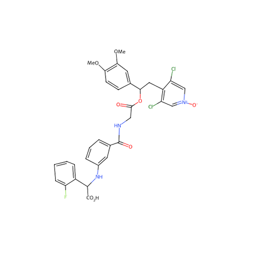 COc1ccc(C(Cc2c(Cl)c[n+]([O-])cc2Cl)OC(=O)CNC(=O)c2cccc(NC(C(=O)O)c3ccccc3F)c2)cc1OC